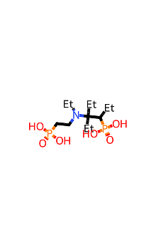 CCC(C(CC)(CC)N(CC)CCP(=O)(O)O)P(=O)(O)O